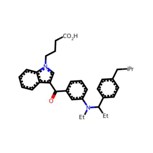 CCC(c1ccc(CC(C)C)cc1)N(CC)c1cccc(C(=O)c2cn(CCCC(=O)O)c3ccccc23)c1